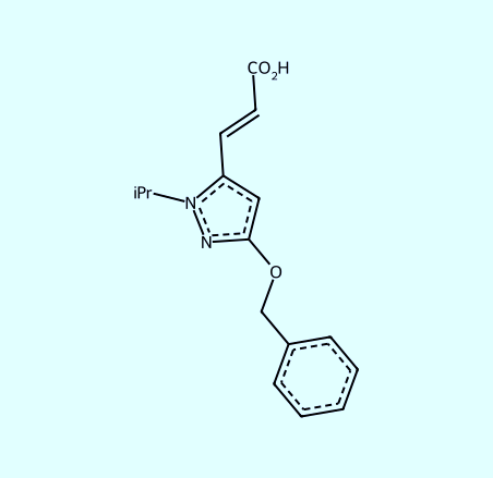 CC(C)n1nc(OCc2ccccc2)cc1/C=C/C(=O)O